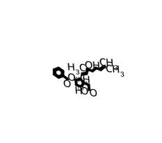 CC(C)=CCCC(C)(O)C=C[C@H]1[C@@H]2CC(=O)O[C@H]2C[C@@H]1OC(=O)c1ccccc1